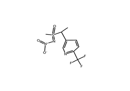 CC(c1ccc(C(F)(F)F)nc1)S(C)(=O)=N[N+](=O)[O-]